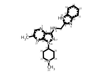 Cc1cnc2c(NCc3nc4ccccc4[nH]3)nn(C3CCN(C)CC3)c2n1